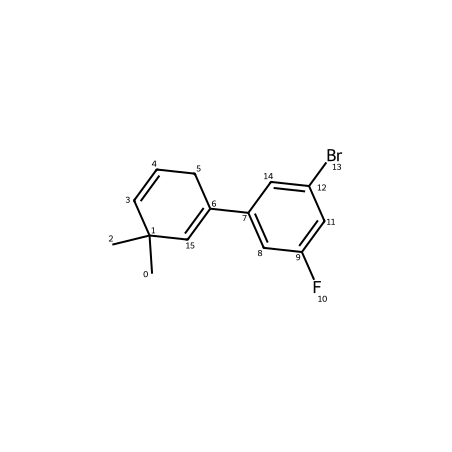 CC1(C)C=CCC(c2cc(F)cc(Br)c2)=C1